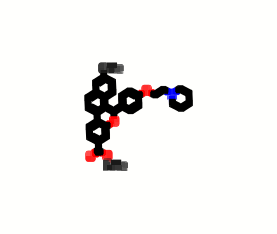 CNOC(=O)c1ccc2c(c1)OC(c1ccc(OCCN3CCCCC3)cc1)c1c-2ccc2cc(OC)ccc12